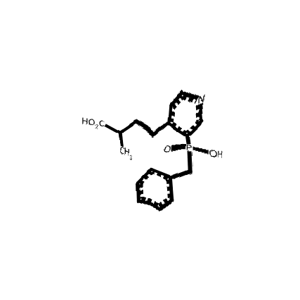 CC(CCc1ccncc1P(=O)(O)Cc1ccccc1)C(=O)O